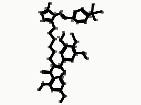 COc1cc(OC)c2c(=O)c(OCCCCSc3nnc(C)n3N=Cc3ccc(C(C)(C)C)cc3)c(-c3cc(OC)c(OC)c(OC)c3)oc2c1